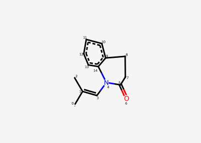 [CH2]C(C)=CN1C(=O)CCc2ccccc21